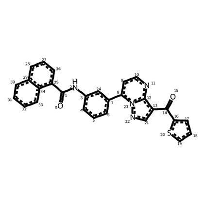 O=C(Nc1cccc(-c2ccnc3c(C(=O)c4cccs4)cnn23)c1)c1cccc2ccccc12